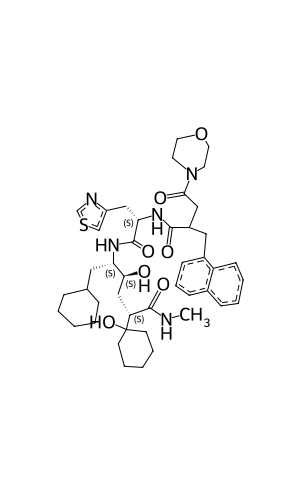 CNC(=O)[C@@H](C[C@H](O)[C@H](CC1CCCCC1)NC(=O)[C@H](Cc1cscn1)NC(=O)C(CC(=O)N1CCOCC1)Cc1cccc2ccccc12)C1(O)CCCCC1